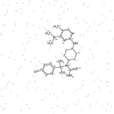 Cc1cnc(NC2CCC(N(C(N)=O)C(C)(C)c3ccc(Cl)cc3)CC2)nc1N(C)C